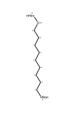 CCCCCCCCCCCCCCCCCCOCCCCCC